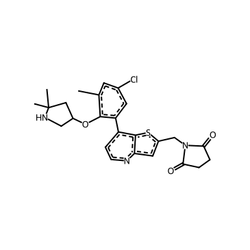 Cc1cc(Cl)cc(-c2ccnc3cc(CN4C(=O)CCC4=O)sc23)c1OC1CNC(C)(C)C1